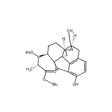 CON([C@@H](C)C(=O)OC(C)(C)C)[C@H]1CC[C@H]2[C@H]3Cc4ccc(O)c5c4[C@@]2(CCN3C)[C@H]1O5